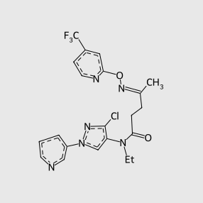 CCN(C(=O)CC/C(C)=N/Oc1cc(C(F)(F)F)ccn1)c1cn(-c2cccnc2)nc1Cl